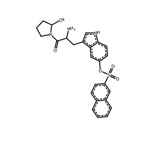 N#CC1CCCN1C(=O)C(N)Cc1c[nH]c2ccc(OS(=O)(=O)c3ccc4ccccc4c3)cc12